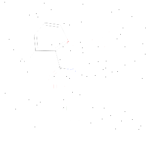 N#Cc1ccccc1C(N)=O.O.O.O.O.O.O.[Cl-].[Cl-].[Co+2]